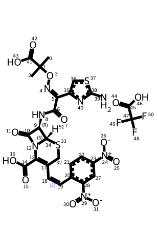 CC(C)(ON=C(C(=O)N[C@@H]1C(=O)N2C(C(=O)O)=C(/C=C\c3ccc([N+](=O)[O-])cc3[N+](=O)[O-])CS[C@@H]12)c1csc(N)n1)C(=O)O.O=C(O)C(F)(F)F